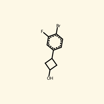 OC1CC(c2ccc(Br)c(F)c2)C1